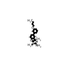 CCCCOc1cccc(-c2cccc(C3(C)N=C(N)N(C)C3=O)c2)c1